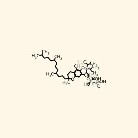 Cc1cc2c(c(C)c1O[Si](CCOP(=O)(O)OP(=O)(O)O)(C(C)C)C(C)C)CCC(C)(CCCC(C)CCCC(C)CCCC(C)C)O2